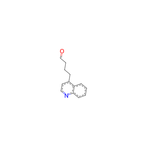 O=CCCCc1ccnc2ccccc12